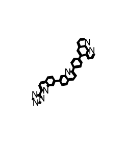 c1cnc2c(c1)cc(-c1ccc(-c3ccc4ccc(-c5ccc6ccc(-c7ncncn7)nc6c5)cc4n3)cc1)c1cccnc12